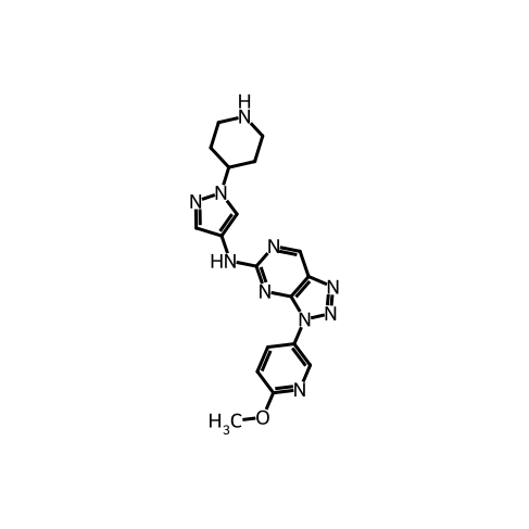 COc1ccc(-n2nnc3cnc(Nc4cnn(C5CCNCC5)c4)nc32)cn1